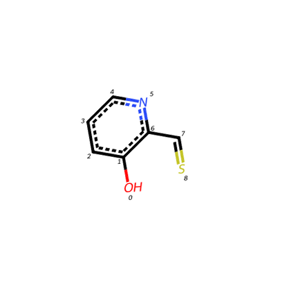 Oc1cccnc1C=S